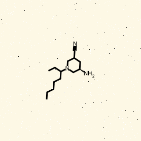 CCCCCC(CC)N1CC(C#N)C[C@@H](N)C1